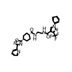 O=C(NCCNC(=O)[C@H]1CC[C@H](c2nc(-c3ccccn3)no2)CC1)c1cn(-c2ccccc2)nc1C(F)(F)F